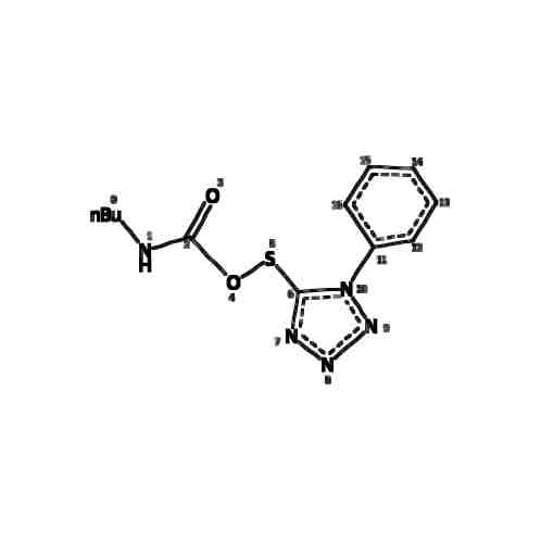 CCCCNC(=O)OSc1nnnn1-c1ccccc1